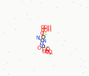 CC[C@@]1(OC(=O)OC(C)C)C(=O)OCc2c1cc1n(c2=O)Cc2c-1nc1cc(F)c(OCOP(=O)(O)O)cc1c2CN(C)C